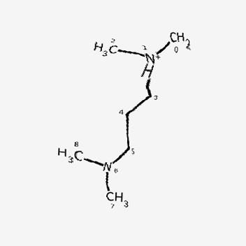 [CH2-][NH+](C)CCCN(C)C